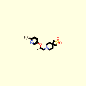 C[C@@H](CN1CCC2(CC1)CS(=O)(=O)C2)Oc1ccc(C(F)(F)F)nc1